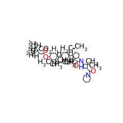 [2H]C([2H])([2H])C(CC(=O)O[C@H]1CC[C@]2(C)[C@H]3CC[C@@H]4[C@H]5[C@H](C(=C)C)CC[C@]5(C(=O)N[C@@H]5C[C@H](C(=O)N6CCCCC6)C5(C)C)CC[C@@]4(C)[C@]3(C)CC[C@H]2C1(C)C)(C(=O)O)C([2H])([2H])[2H]